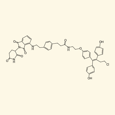 O=C(CCc1ccc(CCNc2cccc3c2C(=O)N(C2CCC(=O)NC2=O)C3=O)cc1)NCCOc1ccc(C(=C(CCCl)c2ccc(O)cc2)c2ccc(O)cc2)cc1